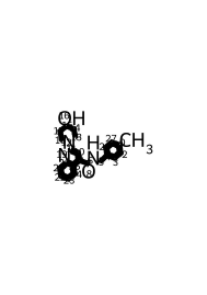 Cc1ccc(CNC(=O)c2cc(N3CCC(O)CC3)nc3ccccc23)cc1